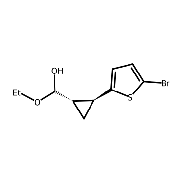 CCOC(O)[C@H]1C[C@@H]1c1ccc(Br)s1